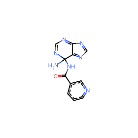 NC1(NC(=O)c2cccnc2)N=CN=C2N=CN=C21